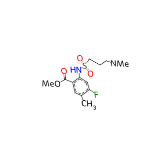 CNCCCS(=O)(=O)Nc1cc(F)c(C)cc1C(=O)OC